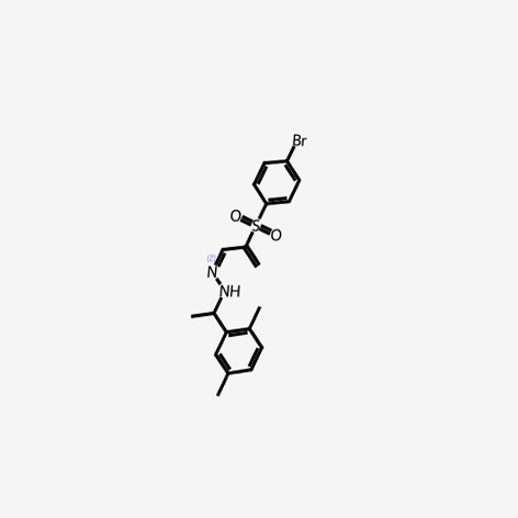 C=C(/C=N\NC(C)c1cc(C)ccc1C)S(=O)(=O)c1ccc(Br)cc1